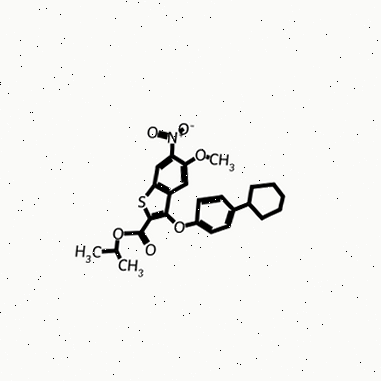 COc1cc2c(Oc3ccc(C4CCCCC4)cc3)c(C(=O)OC(C)C)sc2cc1[N+](=O)[O-]